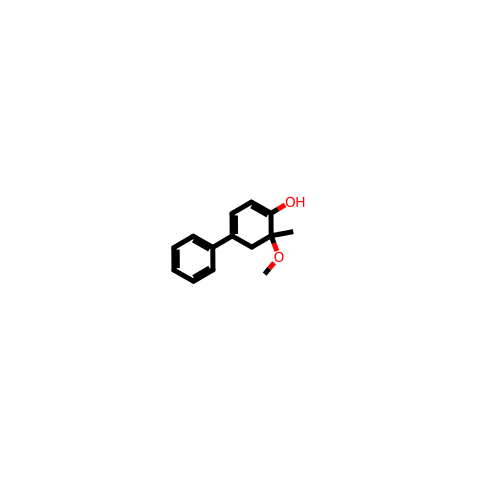 COC1(C)CC(c2ccccc2)=CC=C1O